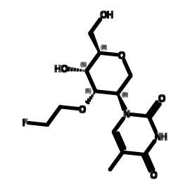 Cc1cn([C@@H]2CO[C@H](CO)[C@@H](O)[C@H]2OCCF)c(=O)[nH]c1=O